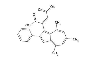 Cc1cc(C)c2cc(-c3ccccc3)c(C(=CC(=O)O)C(=O)O)c-2c(C)c1